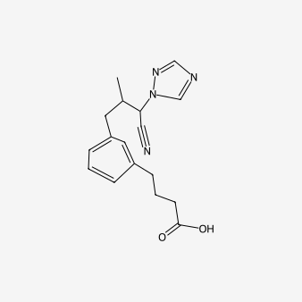 CC(Cc1cccc(CCCC(=O)O)c1)C(C#N)n1cncn1